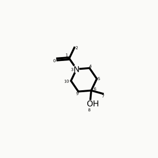 C=C(C)N1CCC(C)(O)CC1